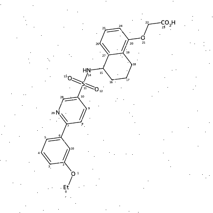 CCOc1cccc(-c2ccc(S(=O)(=O)NC3CCCc4c(OCC(=O)O)cccc43)cn2)c1